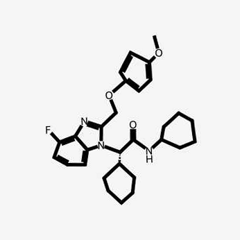 COc1ccc(OCc2nc3c(F)cccc3n2[C@H](C(=O)NC2CCCCC2)C2CCCCC2)cc1